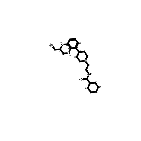 O=C(NCCN1CCN(c2cccc3c2OCC(CO)O3)CC1)C1CCCCC1